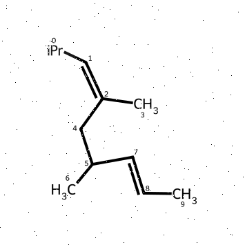 [CH2]C(C)C=C(C)CC(C)C=CC